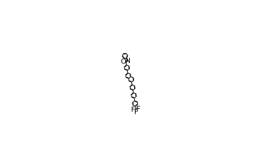 FC(F)(F)c1ccc(-c2ccc(-c3ccc(-c4ccc5cc(-c6ccc(-c7nc8ccccc8o7)cc6)ccc5c4)cc3)cc2)cc1